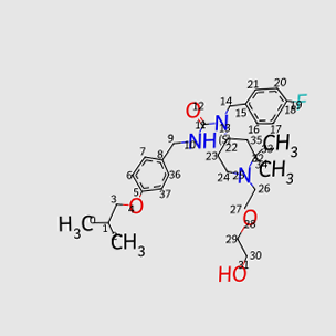 CC(C)COc1ccc(CNC(=O)N(Cc2ccc(F)cc2)[C@H]2CCN(CCOCCO)C(C)(C)C2)cc1